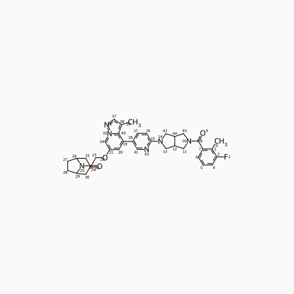 Cc1c(F)cccc1C(=O)N1CC2CN(c3ccc(-c4cc(OCCN5C6CCC5CC(=O)C6)cn5ncc(C)c45)cn3)CC2C1